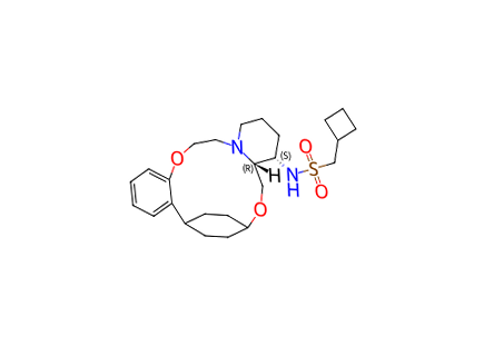 O=S(=O)(CC1CCC1)N[C@H]1CCCN2CCOc3ccccc3C3CCC(CC3)OC[C@@H]12